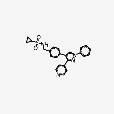 O=S(=O)(NCc1ccc(-c2cn(-c3ccccc3)nc2-c2ccncc2)cc1)C1CC1